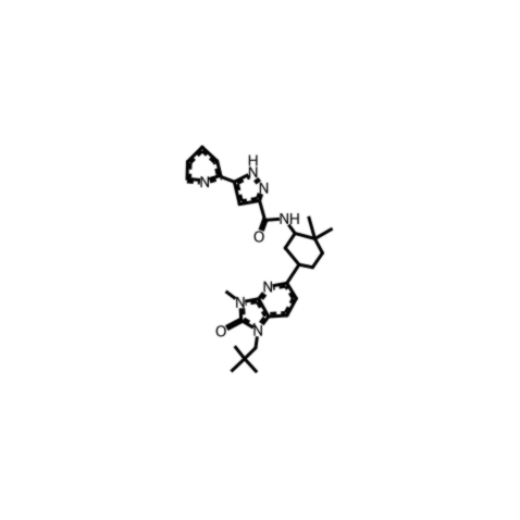 Cn1c(=O)n(CC(C)(C)C)c2ccc(C3CCC(C)(C)C(NC(=O)c4cc(-c5ccccn5)[nH]n4)C3)nc21